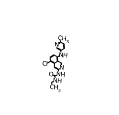 CCNC(=O)Nc1cc2c(Cl)ccc(Nc3ccc(C)nc3)c2cn1